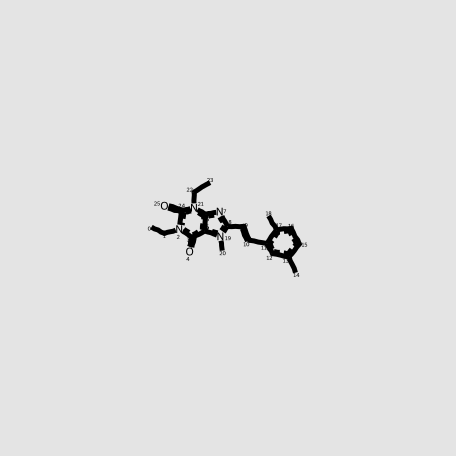 CCn1c(=O)c2c(nc(C=Cc3cc(C)ccc3C)n2C)n(CC)c1=O